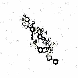 CC(C)(C)C(NC(=O)c1cc2cc(C(F)(F)P(=O)(O)O)ccc2s1)C(=O)N1Cc2cc(OCC(=O)NCC#Cc3ccc4c(c3)C(=O)N(C3CCC(=O)NC3=O)C4=O)ccc2C[C@H]1C(=O)N1CCC[C@H](c2ccccc2)C1